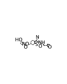 N#Cc1c(NC(=O)C=Cc2ccoc2)sc2c1CCC(COC(=O)N1CCC(O)C1)C2